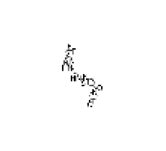 O=C(c1ccc2nc(NCCCNc3ncc(SC(F)F)cn3)sc2c1)N1CCC2(CC1)COC2